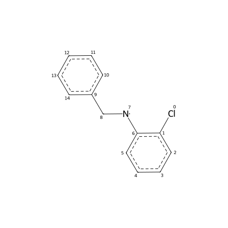 Clc1ccccc1[N]Cc1ccccc1